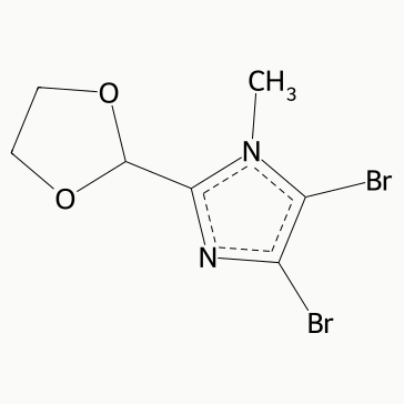 Cn1c(C2OCCO2)nc(Br)c1Br